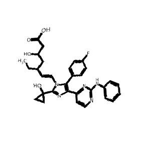 CCC(/C=C/n1c(C2(O)CC2)nc(-c2ccnc(Nc3ccccc3)n2)c1-c1ccc(F)cc1)CC(O)CC(=O)O